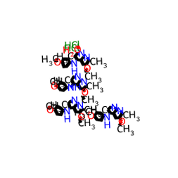 CCOc1cc2c(Nc3ccc(OC)cc3)c(C)cnc2nc1C.CCOc1cc2c(Nc3ccc(OC)cc3)c(C)cnc2nc1C.CCOc1cc2c(Nc3ccc(OC)cc3)c(C)cnc2nc1C.CCOc1cc2c(Nc3ccc(OC)cc3)c(C)cnc2nc1C.Cl.Cl.O